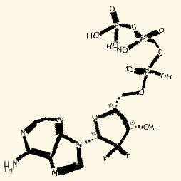 Nc1ncnc2c1ncn2[C@@H]1O[C@H](COP(=O)(O)OP(=O)(O)OP(=O)(O)O)[C@H](O)C1(F)F